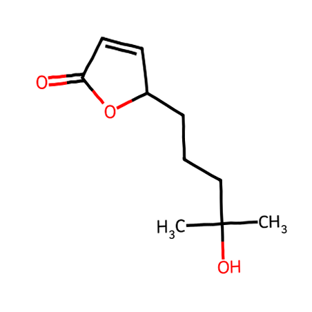 CC(C)(O)CCCC1C=CC(=O)O1